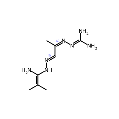 CC(C)=C(N)N/N=C/C(C)=N\N=C(N)N